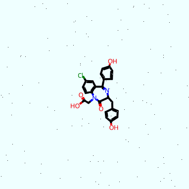 O=C(O)CN1C(=O)C(Cc2ccc(O)cc2)N=C(c2ccc(O)cc2)c2cc(Cl)ccc21